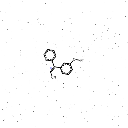 CC(C)Oc1cccc(/C(=C\C#N)c2ccccn2)c1